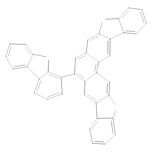 c1ccc2c(c1)oc1cc3c(cc12)c(-c1cccc2c1sc1ccccc12)cc1cc2oc4ccccc4c2cc13